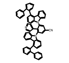 N#Cc1cc(-n2c3ccccc3c3c(-c4ccccc4-c4ccccc4)cccc32)c(-c2ccncc2)c(-n2c3ccccc3c3c(-c4ccccc4-c4ccccc4)cccc32)c1